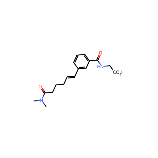 CN(C)C(=O)CCC/C=C/c1cccc(C(=O)NCC(=O)O)c1